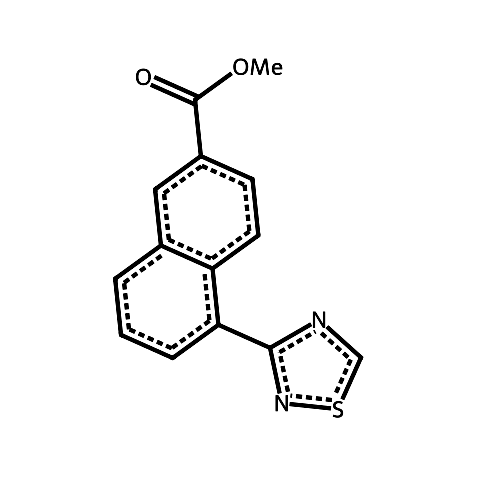 COC(=O)c1ccc2c(-c3ncsn3)cccc2c1